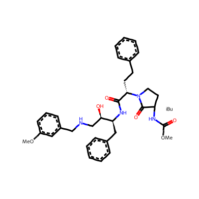 CC[C@H](C)C1(NC(=O)OC)CCN([C@@H](CCc2ccccc2)C(=O)N[C@@H](Cc2ccccc2)[C@H](O)CNCc2cccc(OC)c2)C1=O